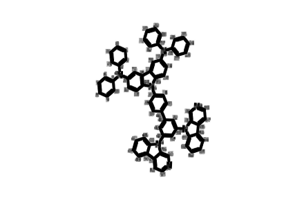 c1ccc(N(c2ccccc2)c2ccc3c(c2)c2cc(N(c4ccccc4)c4ccccc4)ccc2n3-c2ccc(-c3cc(-n4c5ccccc5c5ccncc54)cc(-n4c5ccccc5c5ccncc54)c3)cc2)cc1